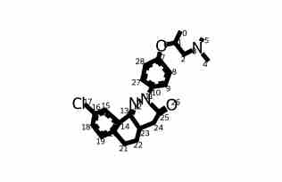 CC(CN(C)C)Oc1ccc(N2N=C3c4cc(Cl)ccc4CCC3CC2=O)cc1